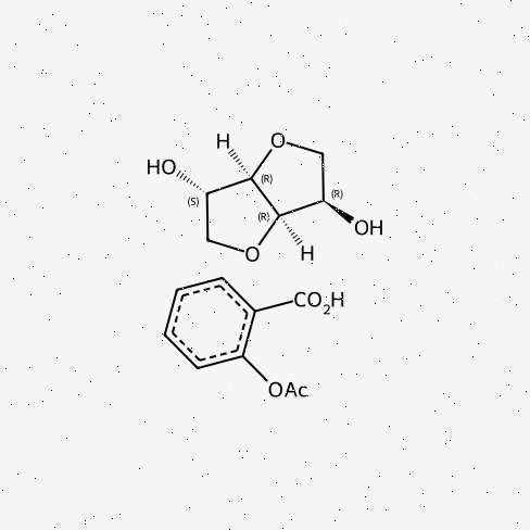 CC(=O)Oc1ccccc1C(=O)O.O[C@@H]1CO[C@H]2[C@@H]1OC[C@@H]2O